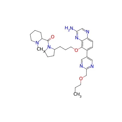 CCCOCc1ncc(-c2ccc3ncc(N)nc3c2OCCCC2CCCN2C(=O)C2CCCCN2C)cn1